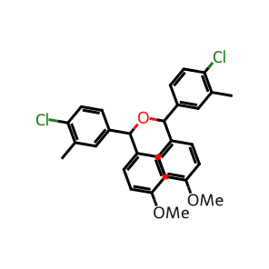 COc1ccc(C(OC(c2ccc(OC)cc2)c2ccc(Cl)c(C)c2)c2ccc(Cl)c(C)c2)cc1